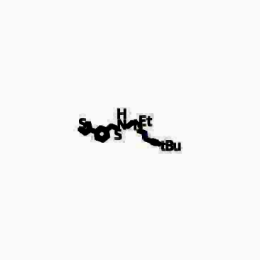 CCN(C/C=C/C#CC(C)(C)C)CCNC(=S)Cc1cccc(-c2ccsc2)c1